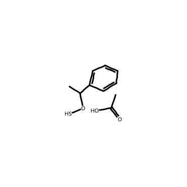 CC(=O)O.CC(OS)c1ccccc1